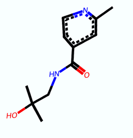 Cc1cc(C(=O)NCC(C)(C)O)ccn1